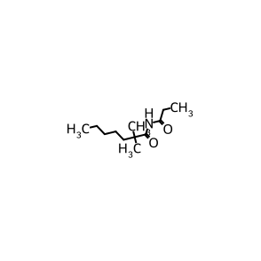 CCCCCC(C)(C)C(=O)NC(=O)CC